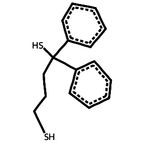 SCCCC(S)(c1ccccc1)c1ccccc1